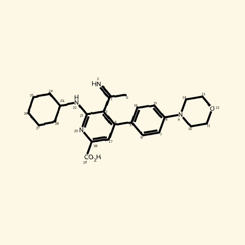 CC(=N)c1c(-c2ccc(N3CCOCC3)cc2)cc(C(=O)O)nc1NC1CCCCC1